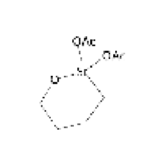 CC(=O)O[Si]1(OC(C)=O)CCCCO1